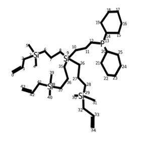 C=CC[Si](C)(C)CCC[Si](CCCP(C1CCCCC1)C1CCCCC1)(CCC[Si](C)(C)CC=C)CCC[Si](C)(C)CC=C